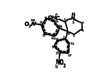 O=CC1NCCCC1(c1ccc([N+](=O)[O-])cc1)c1ccc([N+](=O)[O-])cc1